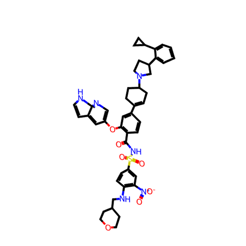 O=C(NS(=O)(=O)c1ccc(NCC2CCOCC2)c([N+](=O)[O-])c1)c1ccc(C2=CCC(N3CCC(c4ccccc4C4CC4)C3)CC2)cc1Oc1cnc2[nH]ccc2c1